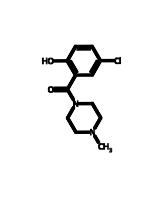 CN1CCN(C(=O)c2cc(Cl)ccc2O)CC1